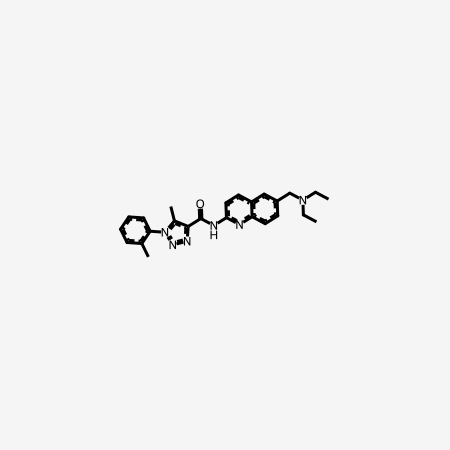 CCN(CC)Cc1ccc2nc(NC(=O)c3nnn(-c4ccccc4C)c3C)ccc2c1